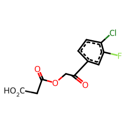 O=C(O)CC(=O)OCC(=O)c1ccc(Cl)c(F)c1